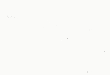 CCc1cc2c(s1)CCOC21CCN(Cc2cn(CC(O)c3cccnc3)nn2)CC1